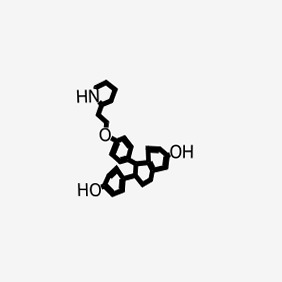 Oc1ccc(C2CCc3cc(O)ccc3C2c2ccc(OCCC3CCCCN3)cc2)cc1